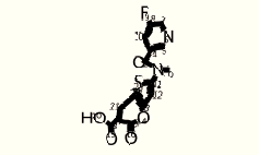 CN(C(=O)c1cncc(F)c1)c1cc2oc(=O)c(C(=O)O)cc2s1